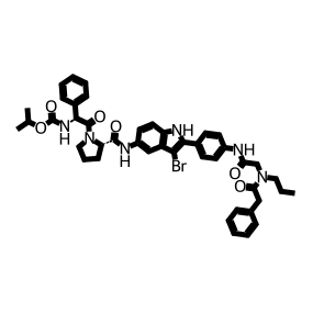 CCCN(CC(=O)Nc1ccc(-c2[nH]c3ccc(NC(=O)[C@@H]4CCCN4C(=O)[C@H](NC(=O)OC(C)C)c4ccccc4)cc3c2Br)cc1)C(=O)Cc1ccccc1